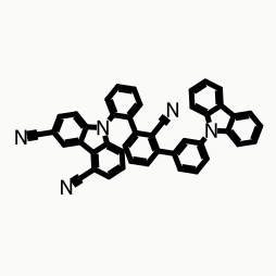 N#Cc1ccc2c(c1)c1c(C#N)cccc1n2-c1ccccc1-c1cccc(-c2cccc(-n3c4ccccc4c4ccccc43)c2)c1C#N